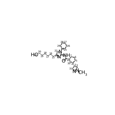 Cn1cc(-c2cccc(C(=O)Nc3nc(CCCCCCO)cn3-c3ccccc3)c2)cn1